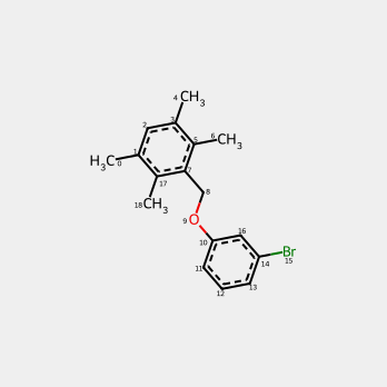 Cc1cc(C)c(C)c(COc2cccc(Br)c2)c1C